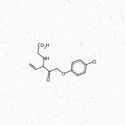 C=CC(NCC(=O)O)C(=O)COc1ccc(Cl)cc1